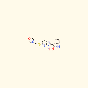 Oc1[nH]c2ccccc2c1-c1nc2ccc(SCCN3CCOCC3)nc2[nH]1